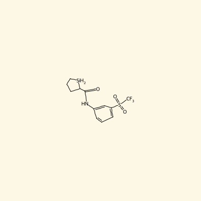 O=C(Nc1cccc(S(=O)(=O)C(F)(F)F)c1)C1CCC[SiH2]1